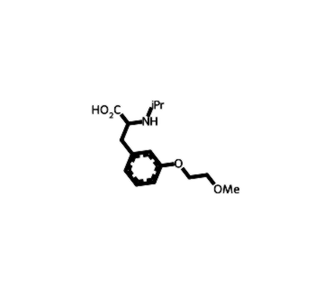 COCCOc1cccc(CC(NC(C)C)C(=O)O)c1